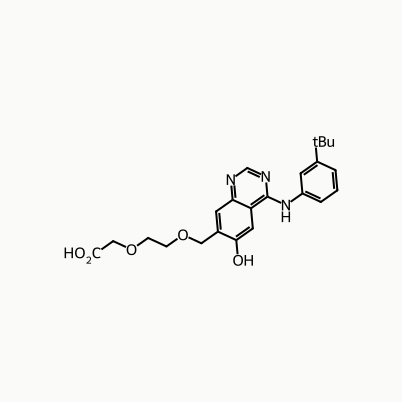 CC(C)(C)c1cccc(Nc2ncnc3cc(COCCOCC(=O)O)c(O)cc23)c1